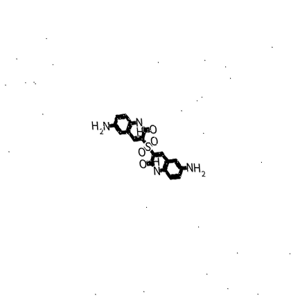 Nc1ccc2[nH]c(=O)c(S(=O)(=O)c3cc4cc(N)ccc4[nH]c3=O)cc2c1